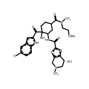 COCCN(C)C(=O)C1CCC(N)(C(=O)c2cc3cc(Cl)ccc3[nH]2)C(NC(=O)c2nc3c(s2)CN(C)CC3)C1.Cl